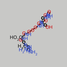 CN(Cc1cnc2nc(N)nc(N)c2n1)c1ccc(C(=O)N[C@@H](CCC(=O)NCCOCCOCCOCCNC(=O)Cn2nc3c(c2-c2ccc(O)cc2)C(=O)c2c(NC(=O)NN4CCOCC4)cccc2-3)C(=O)O)cc1